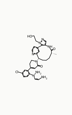 C[C@@H]1CCC[C@H](N2CCC(c3cc(Cl)ccc3N(N)/C=C\N)=CC2=O)c2cc(ccn2)-c2c(cnn2CCO)NC1=O